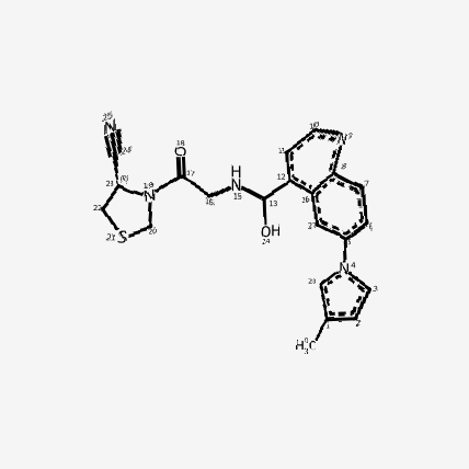 Cc1ccn(-c2ccc3nccc(C(O)NCC(=O)N4CSC[C@H]4C#N)c3c2)c1